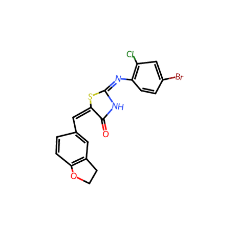 O=C1NC(=Nc2ccc(Br)cc2Cl)SC1=Cc1ccc2c(c1)CCO2